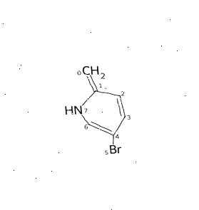 C=C1C=CC(Br)=CN1